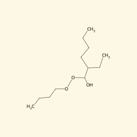 CCCCOOC(O)C(CC)CCCC